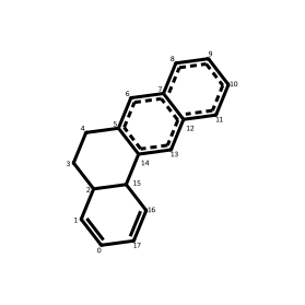 C1=CC2CCc3cc4ccccc4cc3C2C=C1